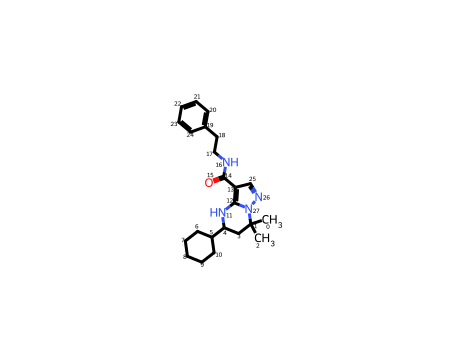 CC1(C)CC(C2CCCCC2)Nc2c(C(=O)NCCc3ccccc3)cnn21